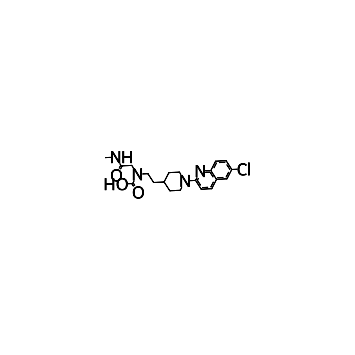 CNC(=O)CN(CCC1CCN(c2ccc3cc(Cl)ccc3n2)CC1)C(=O)O